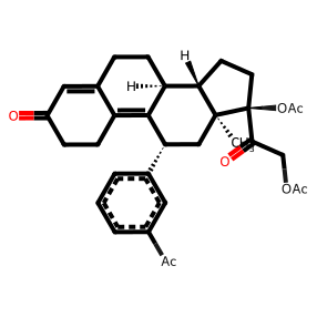 CC(=O)OCC(=O)[C@@]1(OC(C)=O)CC[C@H]2[C@@H]3CCC4=CC(=O)CCC4=C3[C@@H](c3cccc(C(C)=O)c3)C[C@@]21C